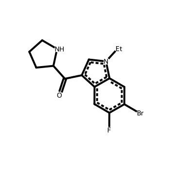 CCn1cc(C(=O)C2CCCN2)c2cc(F)c(Br)cc21